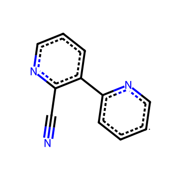 N#Cc1ncccc1-c1cc[c]cn1